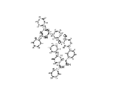 N=C(c1cccc(-c2ccc3c(c2)Oc2cc(-c4nc(-c5ccccc5)nc(-c5ccccc5)n4)ccc2O3)c1)c1cc(-c2ccccc2)ccc1Nc1ccccc1